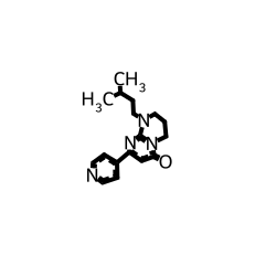 CC(C)CCN1CCCn2c1nc(-c1ccncc1)cc2=O